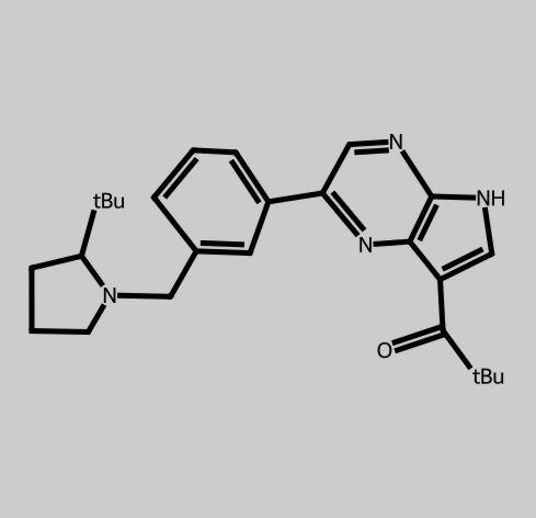 CC(C)(C)C(=O)c1c[nH]c2ncc(-c3cccc(CN4CCCC4C(C)(C)C)c3)nc12